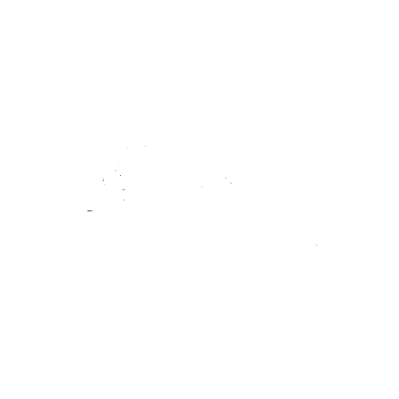 C[C@H](O)[C@H]1C(=O)N2C(C(=O)O)=C(SCc3csc(NC(=O)OCc4ccc([N+](=O)[O-])cc4)n3)C[C@H]12